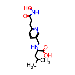 CC(C)CC(NCc1ccc(CCC(=O)NO)nc1)C(=O)O